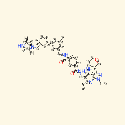 CCc1nc2c(cnn2CC)c(NC2CCOCC2)c1CNC(=O)c1cccc(C(=O)NCc2cc(C)cc(-c3cccc(CN4C[C@@H]5C[C@H]4CN5)c3)c2)c1